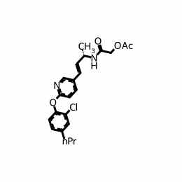 CCCc1ccc(Oc2ccc(/C=C/[C@H](C)NC(=O)COC(C)=O)cn2)c(Cl)c1